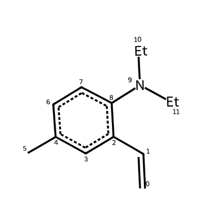 C=Cc1cc(C)ccc1N(CC)CC